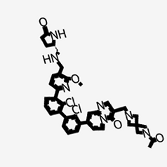 COc1nc(-c2cccc(-c3cccc(-c4ccn5c(=O)c(CN6CC7(C6)CN(C(C)=O)C7)cnc5c4)c3Cl)c2Cl)ccc1CNC[C@@H]1CCC(=O)N1